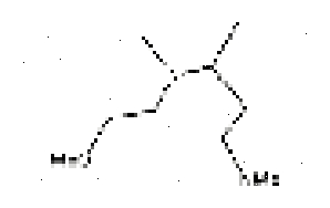 CNCCC(C)N(C)CCOC